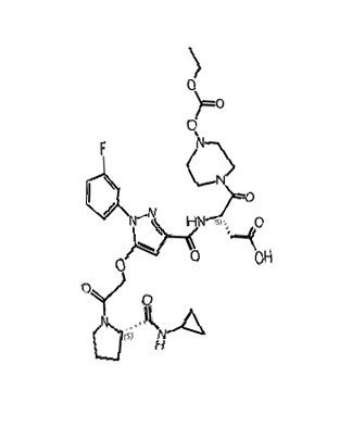 CCOC(=O)ON1CCN(C(=O)[C@H](CC(=O)O)NC(=O)c2cc(OCC(=O)N3CCC[C@H]3C(=O)NC3CC3)n(-c3cccc(F)c3)n2)CC1